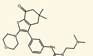 CN(C)CCN(C)C(=O)Nc1cccc(-c2c(N3CCOCC3)sc3c2CC(C)(C)CC3=O)c1